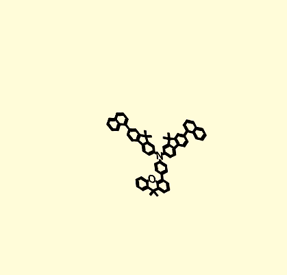 CC1(C)c2cc(-c3cccc4ccccc34)ccc2-c2ccc(N(c3ccc(-c4cccc5c4Oc4ccccc4C5(C)C)cc3)c3ccc4c(c3)C(C)(C)c3cc(-c5cccc6ccccc56)ccc3-4)cc21